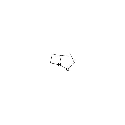 C1CC2CCN2O1